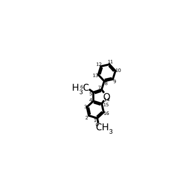 Cc1ccc2c(C)c(-c3ccccc3)oc2c1